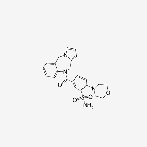 NS(=O)(=O)c1cc(C(=O)N2Cc3cccn3Cc3ccccc32)ccc1N1CCOCC1